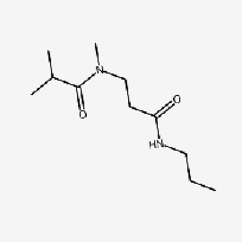 CCCNC(=O)CCN(C)C(=O)C(C)C